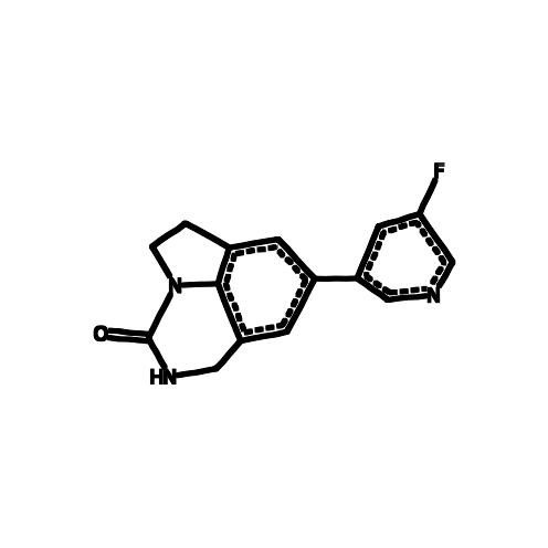 O=C1NCc2cc(-c3cncc(F)c3)cc3c2N1CC3